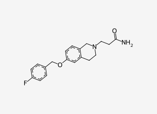 NC(=O)CCN1CCc2cc(OCc3ccc(F)cc3)ccc2C1